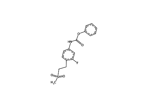 CS(=O)(=O)CCc1ccc(NC(=O)Oc2ccccc2)cc1F